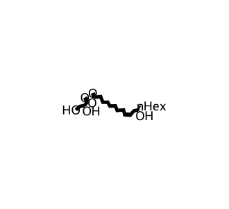 CCCCCC[C@@H](O)C/C=C\CCCCCCCC(=O)OC(=O)C(O)CO